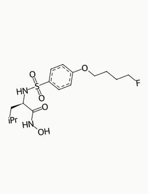 CC(C)C[C@@H](NS(=O)(=O)c1ccc(OCCCCF)cc1)C(=O)NO